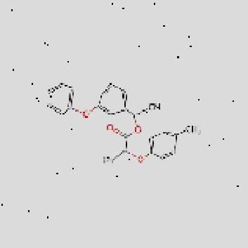 Cc1ccc(OC(C(=O)OC(C#N)c2cccc(Oc3ccccc3)c2)C(C)C)cc1